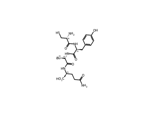 CC[C@H](C)[C@H](NC(=O)[C@H](Cc1ccc(O)cc1)NC(=O)[C@@H](N)CS)C(=O)N[C@@H](CCC(N)=O)C(=O)O